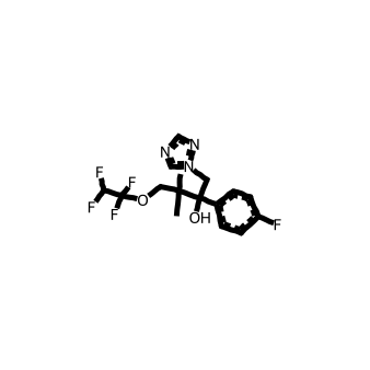 CC(C)(COC(F)(F)C(F)F)C(O)(Cn1cncn1)c1ccc(F)cc1